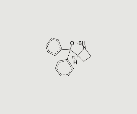 B1OC(c2ccccc2)(c2ccccc2)[C@@H]2CCN12